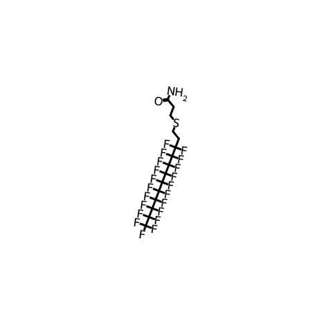 NC(=O)CCSCCC(F)(F)C(F)(F)C(F)(F)C(F)(F)C(F)(F)C(F)(F)C(F)(F)C(F)(F)C(F)(F)C(F)(F)F